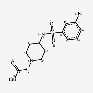 CC(C)(C)C(=O)ON1CCC(NS(=O)(=O)c2cccc(Br)c2)CC1